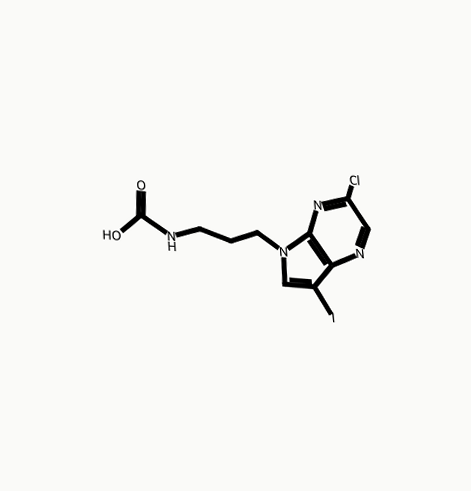 O=C(O)NCCCn1cc(I)c2ncc(Cl)nc21